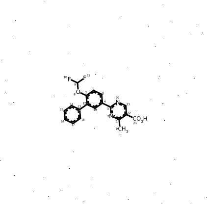 Cc1nc(-c2ccc(OC(F)F)c(-c3ccccc3)c2)ncc1C(=O)O